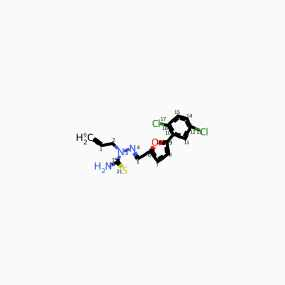 C=CCN(N=Cc1ccc(-c2cc(Cl)ccc2Cl)o1)C(N)=S